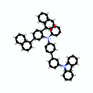 c1ccc(N(c2ccc(-c3cccc(-n4c5ccccc5c5ccccc54)c3)cc2)c2cc(-c3cccc4ccccc34)ccc2-c2cccc3ccccc23)cc1